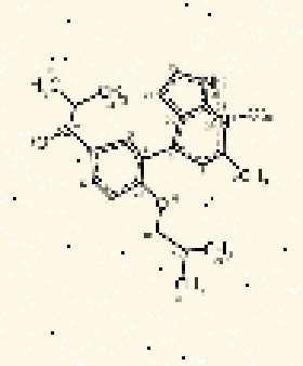 Cc1cc(-c2cc([S+]([O-])C(C)C)ccc2OCC(C)C)c2cc[nH]c2[n+]1[O-]